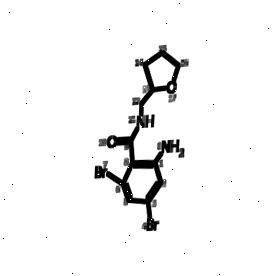 Nc1cc(Br)cc(Br)c1C(=O)NCC1CCCO1